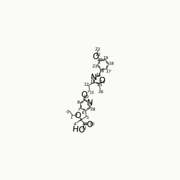 CCOC(C)(Cc1ccc(OCCc2nc(-c3cccc(OC)c3)oc2C)nc1)C(=O)O